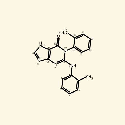 Cc1ccccc1Nc1nc2nc[nH]c2c(=O)n1-c1ccccc1C